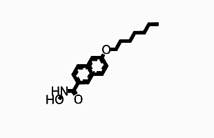 CCCCCCCOc1ccc2cc(C(=O)NO)ccc2c1